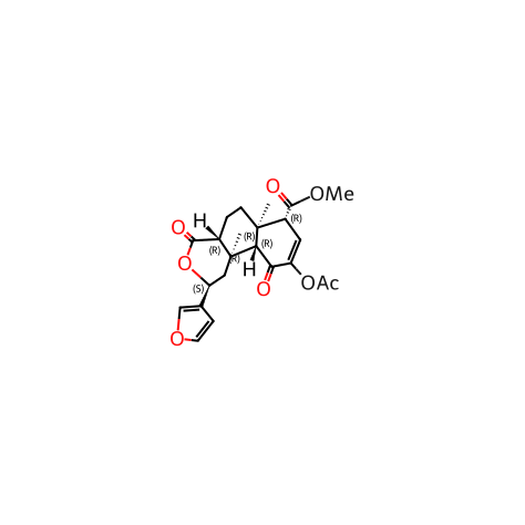 COC(=O)[C@@H]1C=C(OC(C)=O)C(=O)[C@H]2[C@@]1(C)CC[C@H]1C(=O)O[C@H](c3ccoc3)C[C@]21C